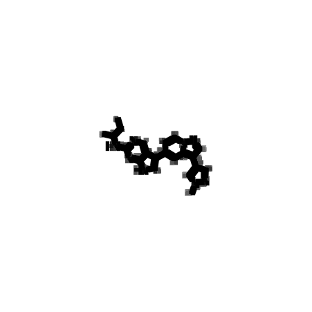 CCC(C)Nc1ncc2c(-c3ccn4ncc(-c5cnn(C)c5)c4c3)c[nH]c2n1